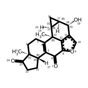 C[C@]12CCC3=C(C(=O)c4occ5c4[C@]3(C)[C@H]3C[C@H]3[C@@H]5O)[C@@H]1CCC2=O